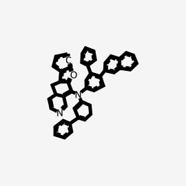 C1=CC2Cc3c(oc4ccccc34)C(N(C3=CC(c4ccccc4)=CCC3)c3ccc(-c4ccc5ccccc5c4)c(-c4ccccc4)c3)=C2C=N1